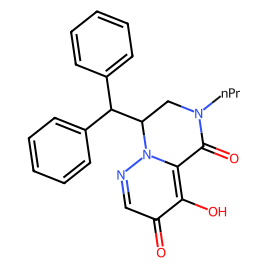 CCCN1CC(C(c2ccccc2)c2ccccc2)n2ncc(=O)c(O)c2C1=O